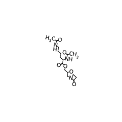 CC(=O)NCCCCC(NC(C)=O)C(=O)OCC1CN2C(=O)CC2O1